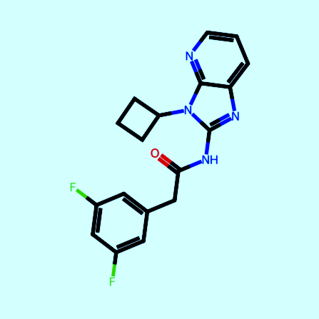 O=C(Cc1cc(F)cc(F)c1)Nc1nc2cccnc2n1C1CCC1